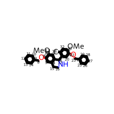 COc1cc2c(cc1OCc1ccccc1)CCNC2c1cc(OCc2ccccc2)c(OC)cc1C